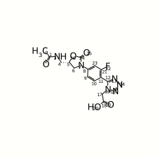 CC(=O)NC[C@H]1CN(c2ccc(-c3nnnn3CC(=O)O)c(F)c2)C(=O)O1